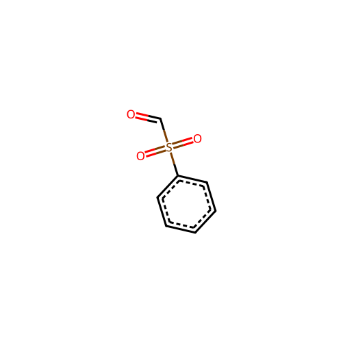 O=CS(=O)(=O)c1ccccc1